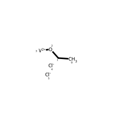 CC[O][V+2].[Cl-].[Cl-]